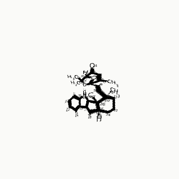 CC1=CC(=O)[C@@H]2O[C@@]1(CC[C@@]1(C)CCC[C@H]3Cc4c([nH]c5ccccc45)[C@@]31C)OC2(C)C